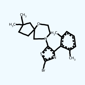 Cc1cccc(C)c1-c1nc(Br)sc1N1CCOC2(CCC(C)(C)C2)C1